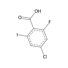 O=C(O)c1c(F)cc(Cl)cc1I